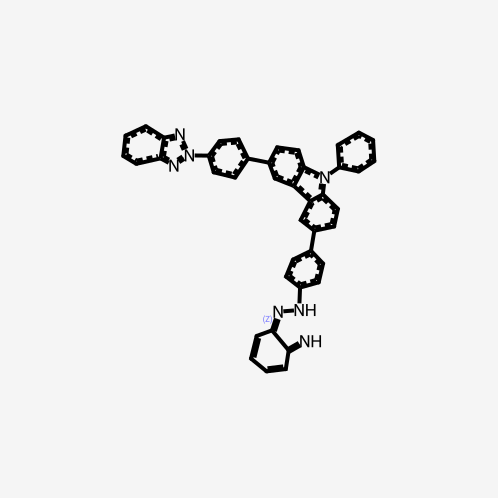 N=C1C=CC=C/C1=N/Nc1ccc(-c2ccc3c(c2)c2cc(-c4ccc(-n5nc6ccccc6n5)cc4)ccc2n3-c2ccccc2)cc1